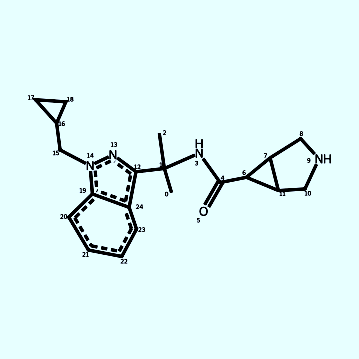 CC(C)(NC(=O)C1C2CNCC21)c1nn(CC2CC2)c2ccccc12